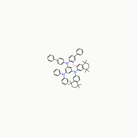 CC1(C)CCC(C)(C)c2cc(N3c4cc5c(cc4B4c6cc(-c7ccccc7)ccc6N(c6ccc(-c7ccccc7)cc6)c6cc(N(c7ccccc7)c7ccccc7)cc3c64)C(C)(C)CCC5(C)C)ccc21